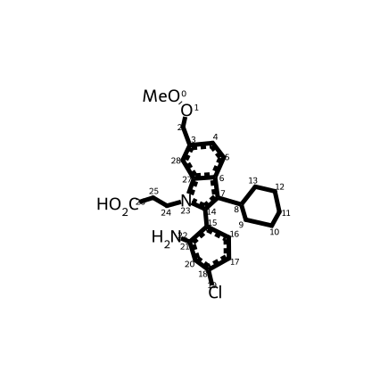 COOCc1ccc2c(C3CCCCC3)c(-c3ccc(Cl)cc3N)n(CCC(=O)O)c2c1